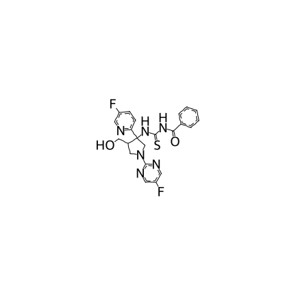 O=C(NC(=S)NC1(c2ccc(F)cn2)CN(c2ncc(F)cn2)CC1CO)c1ccccc1